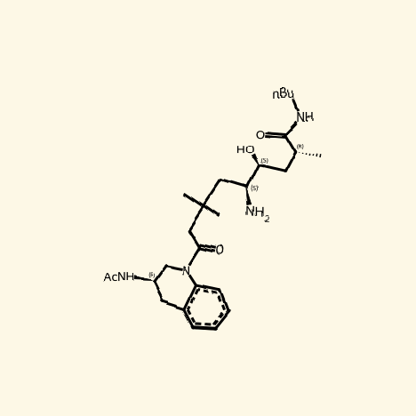 CCCCNC(=O)[C@H](C)C[C@H](O)[C@@H](N)CC(C)(C)CC(=O)N1C[C@H](NC(C)=O)Cc2ccccc21